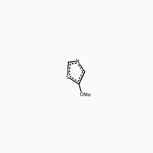 COc1[c]ncs1